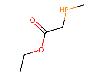 CCOC(=O)CPC